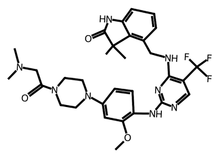 COc1cc(N2CCN(C(=O)CN(C)C)CC2)ccc1Nc1ncc(C(F)(F)F)c(NCc2cccc3c2C(C)(C)C(=O)N3)n1